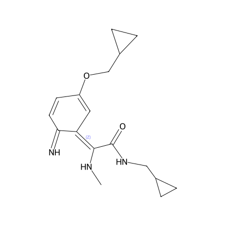 CN/C(C(=O)NCC1CC1)=C1/C=C(OCC2CC2)C=CC1=N